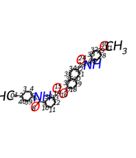 C#Cc1ccc(NC(=O)c2cccc(C(=O)Oc3ccc4cc(C(=O)Nc5ccc(OC)cc5)ccc4c3)c2)cc1